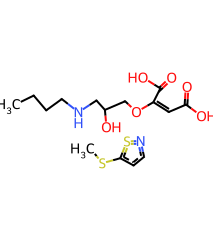 CCCCNCC(O)CO/C(=C/C(=O)O)C(=O)O.CSc1ccns1